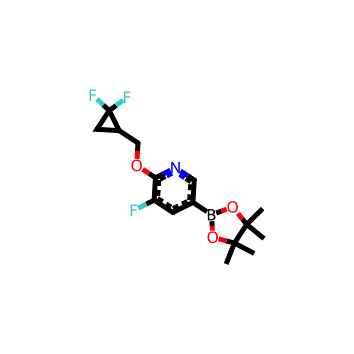 CC1(C)OB(c2cnc(OCC3CC3(F)F)c(F)c2)OC1(C)C